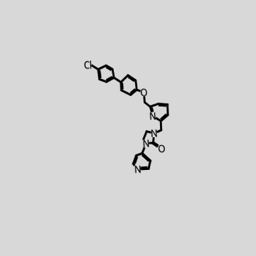 O=C1N(Cc2cccc(COc3ccc(-c4ccc(Cl)cc4)cc3)n2)CCN1c1ccncc1